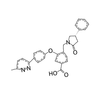 Cc1ccc(-c2ccc(Oc3cc(C(=O)O)ccc3CN3C[C@H](c4ccccc4)CC3=O)cc2)nn1